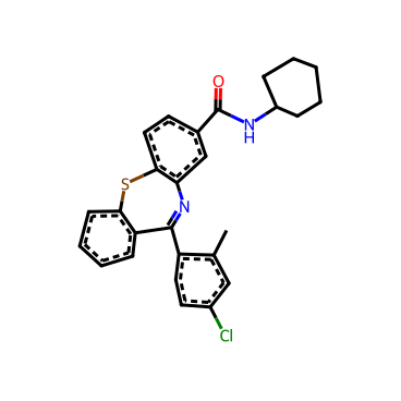 Cc1cc(Cl)ccc1C1=Nc2cc(C(=O)NC3CCCCC3)ccc2Sc2ccccc21